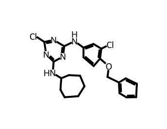 Clc1nc(Nc2ccc(OCc3ccccc3)c(Cl)c2)nc(NC2CCCCCC2)n1